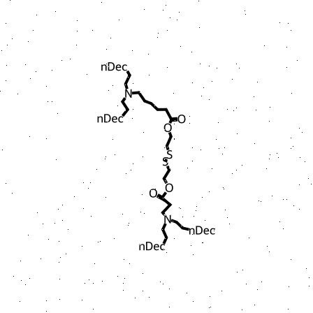 CCCCCCCCCCCCN(CCCCCCCCCCCC)CCCCCC(=O)OCCSSCCOC(=O)CCN(CCCCCCCCCCCC)CCCCCCCCCCCC